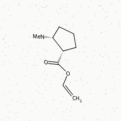 C=COC(=O)[C@H]1CCC[C@H]1NC